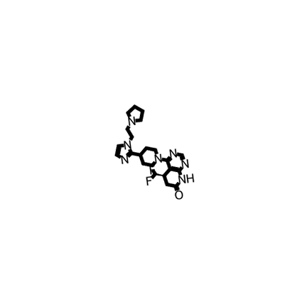 O=C1C[C@@H](C(F)F)c2c(ncnc2N2CCC(c3nccn3CCN3CCCC3)CC2)N1